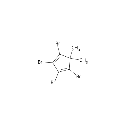 CC1(C)C(Br)=C(Br)C(Br)=C1Br